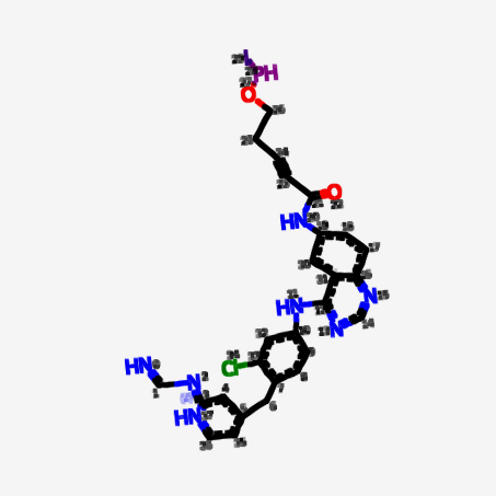 N=C/N=c1/cc(Cc2ccc(Nc3ncnc4ccc(NC(=O)C#CCCOPI)cc34)cc2Cl)cc[nH]1